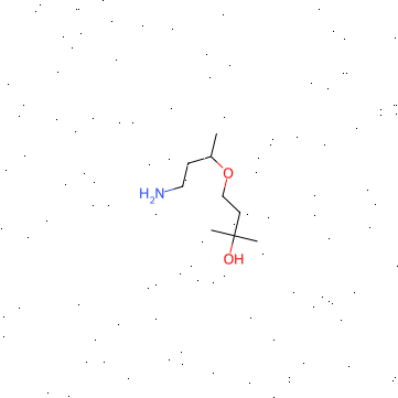 CC(CCN)OCCC(C)(C)O